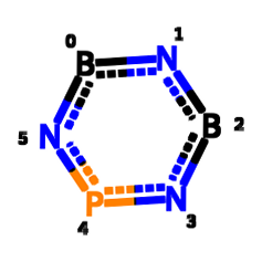 b1nbnpn1